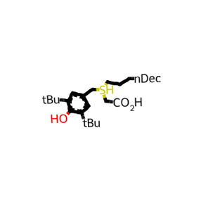 CCCCCCCCCCCCC[SH](CC(=O)O)Cc1cc(C(C)(C)C)c(O)c(C(C)(C)C)c1